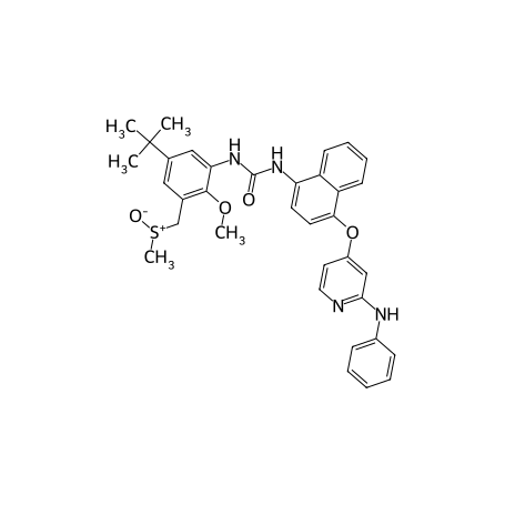 COc1c(C[S+](C)[O-])cc(C(C)(C)C)cc1NC(=O)Nc1ccc(Oc2ccnc(Nc3ccccc3)c2)c2ccccc12